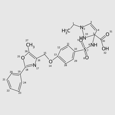 CCN1C=CC(NS(=O)(=O)c2ccc(OCc3nc(-c4ccccc4)oc3C)cc2)(C(=O)O)N1